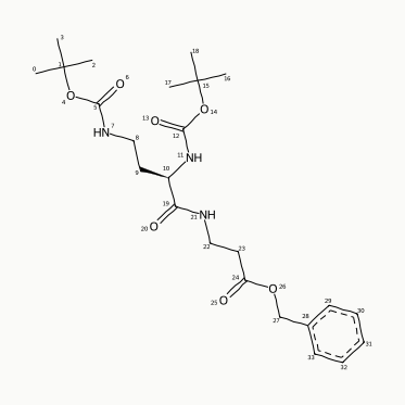 CC(C)(C)OC(=O)NCC[C@@H](NC(=O)OC(C)(C)C)C(=O)NCCC(=O)OCc1ccccc1